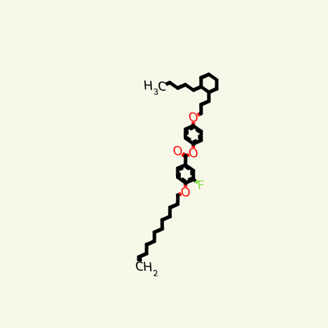 C=CCCCCCCCCCCOc1ccc(C(=O)Oc2ccc(OCCCC3CCCCC3CCCCC)cc2)cc1F